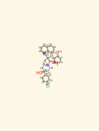 COc1ccccc1[C@H](c1cccc2ccccc12)[C@@](C)(C#N)C(O)N1CCC(O)(c2ccc(Cl)cc2)CC1